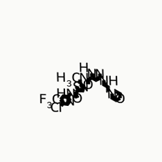 CC(NC(=O)c1cc(NCCCN2CCOCC2)ncn1)c1ncc(C(=O)Nc2cc(C(F)(F)F)c(Cl)cn2)s1